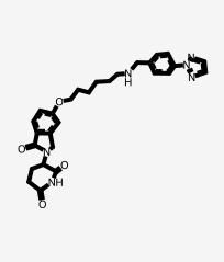 O=C1CCC(N2Cc3cc(OCCCCCCNCc4ccc(-n5nccn5)cc4)ccc3C2=O)C(=O)N1